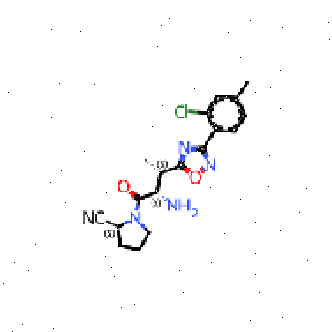 Cc1ccc(-c2noc([C@@H](C)[C@H](N)C(=O)N3CCC[C@H]3C#N)n2)c(Cl)c1